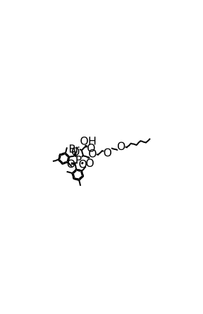 CCCCCCOCCOCCOC(=O)C(C(Br)C(=O)O)P(=O)(C(=O)c1c(C)cc(C)cc1C)C(=O)c1c(C)cc(C)cc1C